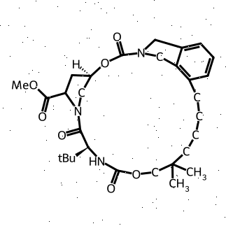 COC(=O)C1C[C@@H]2CN1C(=O)[C@H](C(C)(C)C)NC(=O)OCC(C)(C)CCCCc1cccc3c1CN(C3)C(=O)O2